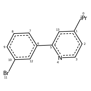 CC(C)c1ccnc(-c2cccc(Br)c2)c1